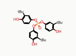 CC(C)(C)c1cc(OP(=O)(Oc2ccc(O)c(C(C)(C)C)c2)Oc2ccc(O)c(C(C)(C)C)c2)ccc1O